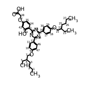 CCCCC(CC)COc1ccc(-c2nc(-c3ccc(OCC(CC)CCCC)cc3)nc(-c3ccc(OCC(=O)O)cc3O)n2)cc1